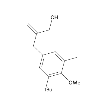 C=C(CO)Cc1cc(C)c(OC)c(C(C)(C)C)c1